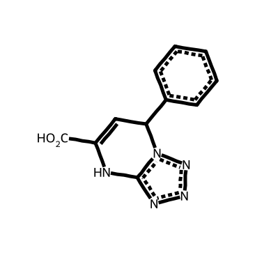 O=C(O)C1=CC(c2ccccc2)n2nnnc2N1